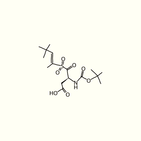 CC(=CC(C)(C)C)S(=O)(=O)C(=O)[C@H](CC(=O)O)NC(=O)OC(C)(C)C